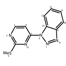 CSc1nccc(-n2nnc3ccccc32)n1